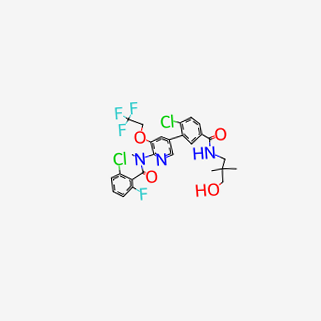 CN(C(=O)c1c(F)cccc1Cl)c1ncc(-c2cc(C(=O)NCC(C)(C)CO)ccc2Cl)cc1OCC(F)(F)F